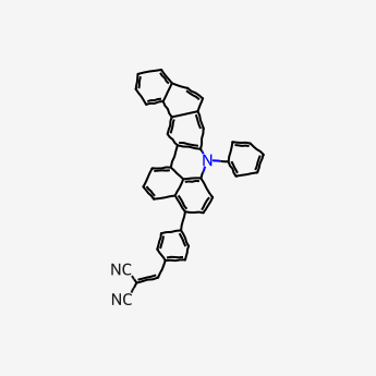 N#CC(C#N)=Cc1ccc(-c2ccc3c4c(cccc24)-c2cc4c(ccc5ccccc54)cc2N3c2ccccc2)cc1